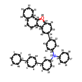 c1ccc(-c2ccc(-c3cccc(N(c4ccccc4)c4ccc(-c5ccc6oc7c8ccccc8ccc7c6c5)cc4)c3)cc2)cc1